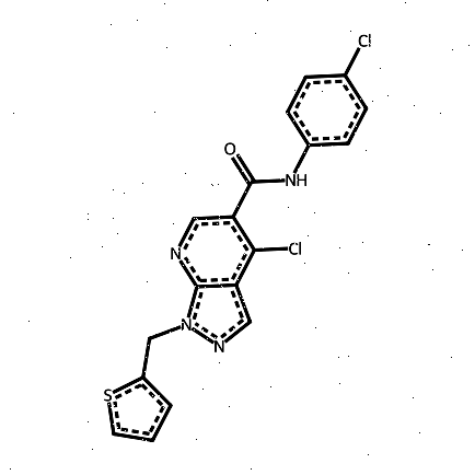 O=C(Nc1ccc(Cl)cc1)c1cnc2c(cnn2Cc2cccs2)c1Cl